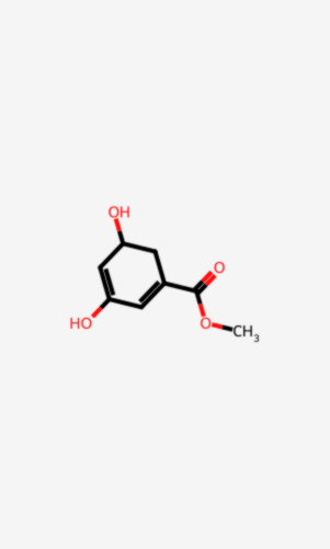 COC(=O)C1=CC(O)=CC(O)C1